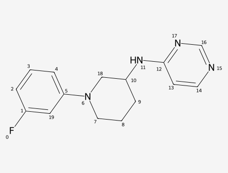 Fc1cccc(N2CCCC(Nc3ccncn3)C2)c1